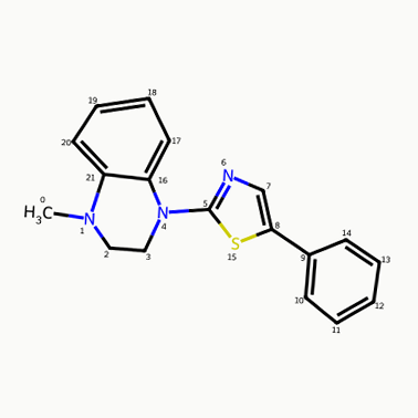 CN1CCN(c2ncc(-c3ccccc3)s2)c2ccccc21